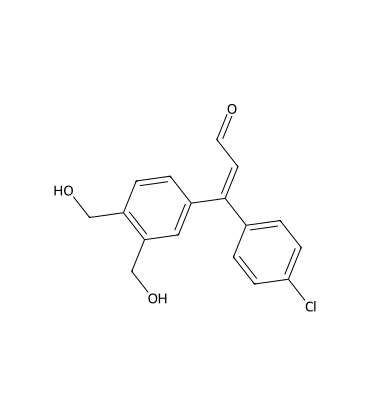 O=CC=C(c1ccc(Cl)cc1)c1ccc(CO)c(CO)c1